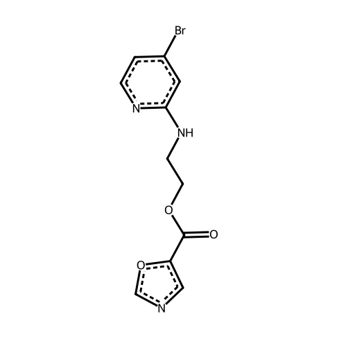 O=C(OCCNc1cc(Br)ccn1)c1cnco1